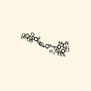 COc1cc(Nc2c(C#N)cnc3cc(OCCCN4CCC(CN5CC6CC5CN6c5cc6c(cc5F)C(=O)N(C5CCC(=O)NC5=O)C6=O)CC4)c(OC)cc23)c(Cl)cc1Cl